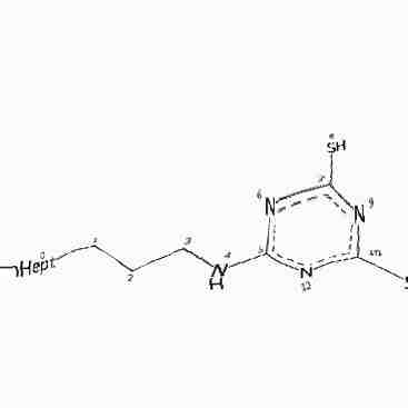 CCCCCCCCCCNc1nc(S)nc(S)n1